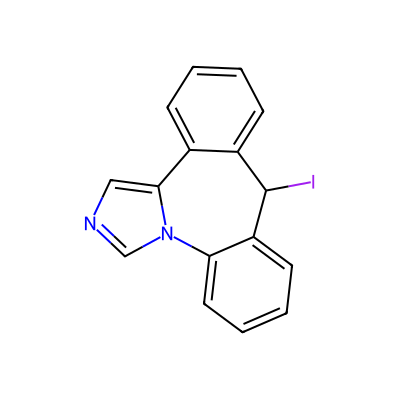 IC1c2ccccc2-c2cncn2-c2ccccc21